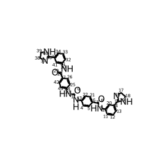 O=C(Nc1ccc(C(=O)Nc2cccc(C3=NCCN3)c2)cc1)Nc1ccc(C(=O)Nc2cccc(C3=NCCN3)c2)cc1